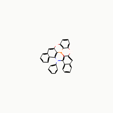 O=P12c3c4cccc3Oc3cc5ccccc5c(c31)N(c1ccccc1)c1c2c(cc2ccccc12)O4